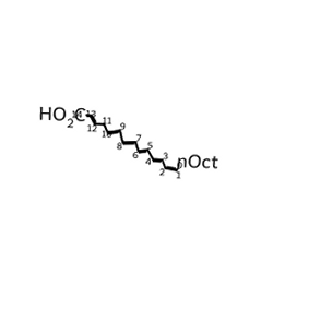 CCCCCCCC/C=C\C=CC=CC=CC=CCC=CC(=O)O